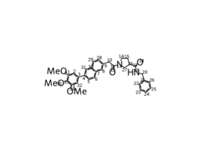 COc1cc(-c2ccc3cc(CC(=O)N4CCC(C(=O)NCc5ccccc5)C4)ccc3c2)cc(OC)c1OC